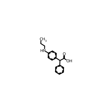 CCCNc1ccc(C(C(=O)O)c2ccccc2)cc1